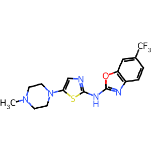 CN1CCN(c2cnc(Nc3nc4ccc(C(F)(F)F)cc4o3)s2)CC1